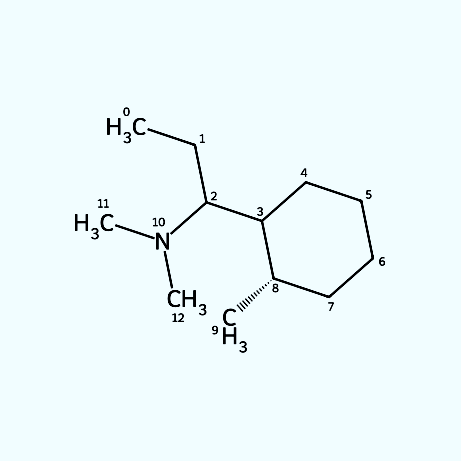 CCC(C1CCCC[C@@H]1C)N(C)C